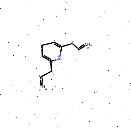 C=CCC1=CCC=C(CC=C)N1